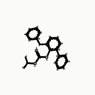 CC(C)OC(=O)Oc1c(Cc2ccccc2)cccc1-c1ccccc1